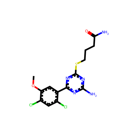 COc1cc(-c2nc(N)nc(SCCCC(N)=O)n2)c(Cl)cc1Cl